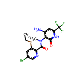 CCSc1cc(Br)cnc1C(=O)N(C)c1c(N)cc(C(F)(F)F)[nH]c1=O